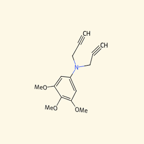 C#CCN(CC#C)c1cc(OC)c(OC)c(OC)c1